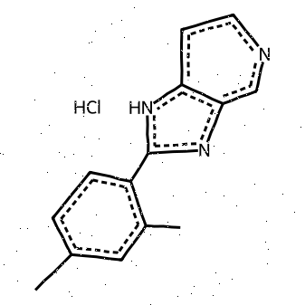 Cc1ccc(-c2nc3cnccc3[nH]2)c(C)c1.Cl